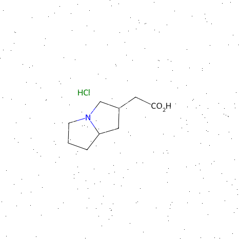 Cl.O=C(O)CC1CC2CCCN2C1